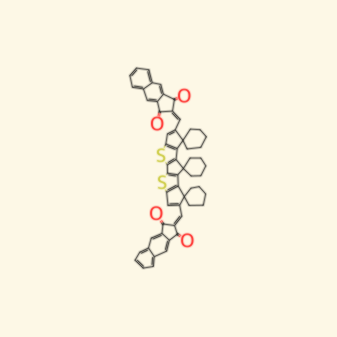 O=C1C(=CC2=Cc3sc4c(c3C23CCCCC3)C2(CCCCC2)c2c-4sc3c2C2(CCCCC2)C(C=C2C(=O)c4cc5ccccc5cc4C2=O)=C3)C(=O)c2cc3ccccc3cc21